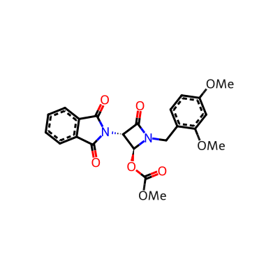 COC(=O)O[C@H]1[C@H](N2C(=O)c3ccccc3C2=O)C(=O)N1Cc1ccc(OC)cc1OC